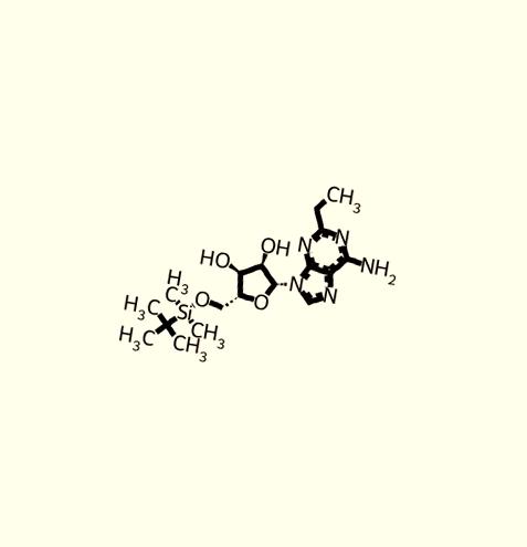 CCc1nc(N)c2ncn([C@@H]3O[C@H](CO[Si](C)(C)C(C)(C)C)[C@@H](O)[C@H]3O)c2n1